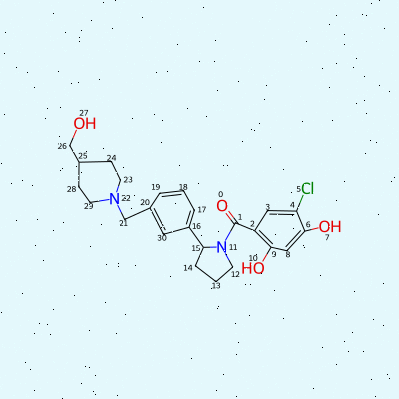 O=C(c1cc(Cl)c(O)cc1O)N1CCCC1c1cccc(CN2CCC(CO)CC2)c1